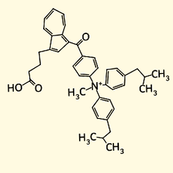 CC(C)Cc1ccc([N+](C)(c2ccc(CC(C)C)cc2)c2ccc(C(=O)c3cc(CCCC(=O)O)c4cccccc3-4)cc2)cc1